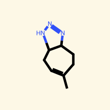 CC1=CCC2NN=NC2CC1